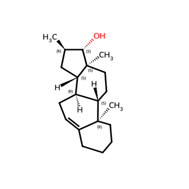 C[C@@H]1C[C@H]2[C@@H]3CC=C4CCCC[C@]4(C)[C@H]3CC[C@]2(C)[C@H]1O